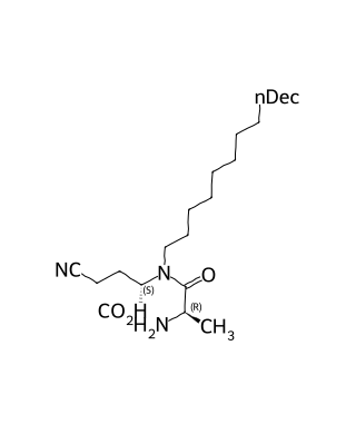 CCCCCCCCCCCCCCCCCCN(C(=O)[C@@H](C)N)[C@@H](CCC#N)C(=O)O